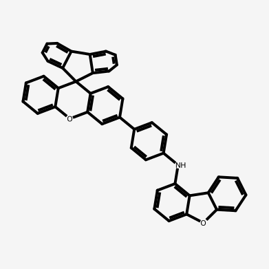 c1ccc2c(c1)Oc1cc(-c3ccc(Nc4cccc5oc6ccccc6c45)cc3)ccc1C21c2ccccc2-c2ccccc21